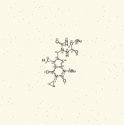 CCCCn1c(=O)n(C2CC2)c(=O)c2c(C)c(CN(NC(=O)OC(C)(C)C)C(N)=O)sc21